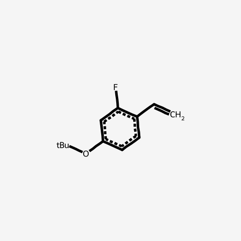 C=Cc1ccc(OC(C)(C)C)cc1F